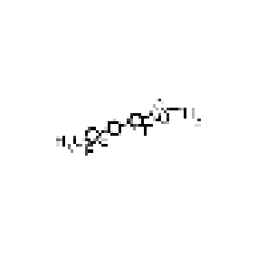 C=CC1OCC(c2ccc(-c3ccc(-c4ccc(C)c(F)c4F)cc3)cc2F)CO1